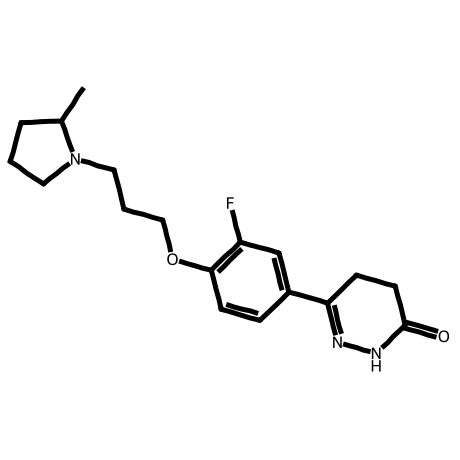 CC1CCCN1CCCOc1ccc(C2=NNC(=O)CC2)cc1F